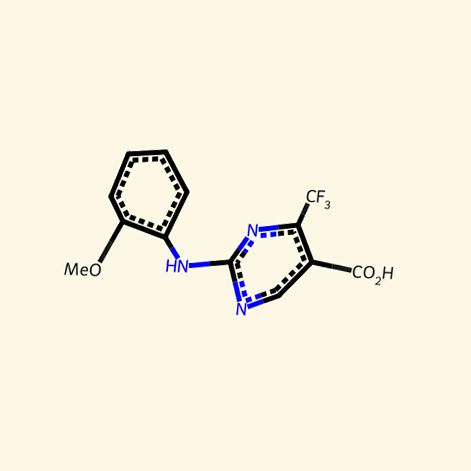 COc1ccccc1Nc1ncc(C(=O)O)c(C(F)(F)F)n1